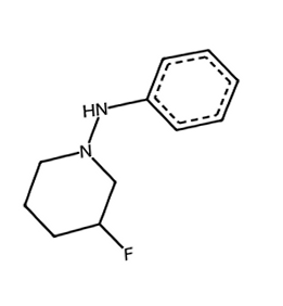 FC1CCCN(Nc2ccccc2)C1